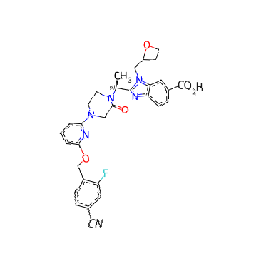 C[C@@H](c1nc2ccc(C(=O)O)cc2n1CC1CCO1)N1CCN(c2cccc(OCc3ccc(C#N)cc3F)n2)CC1=O